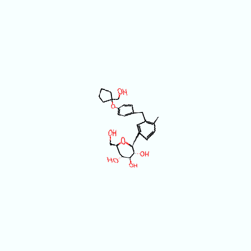 Cc1ccc([C@@H]2O[C@H](CO)[C@@H](O)[C@H](O)[C@H]2O)cc1Cc1ccc(OC2(CO)CCCC2)cc1